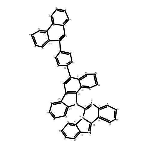 c1ccc2c(c1)cc(-c1ccc(-c3cc4c5ccccc5n(-c5nc6ccccc6c6nc7ccccc7n56)c4c4ccccc34)cc1)c1ccccc12